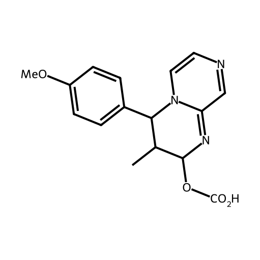 COc1ccc(C2C(C)C(OC(=O)O)N=C3C=NC=CN32)cc1